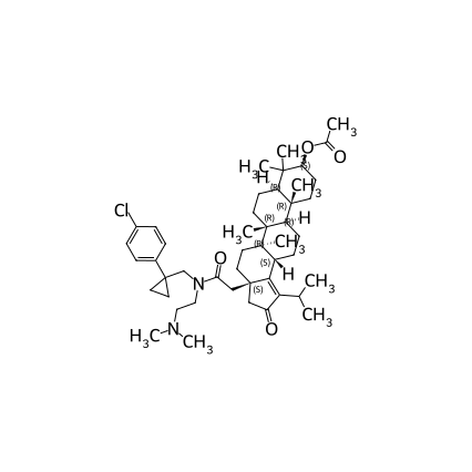 CC(=O)O[C@H]1CC[C@]2(C)[C@H]3CC[C@@H]4C5=C(C(C)C)C(=O)C[C@]5(CC(=O)N(CCN(C)C)CC5(c6ccc(Cl)cc6)CC5)CC[C@@]4(C)[C@]3(C)CC[C@H]2C1(C)C